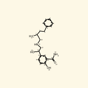 CC(CCc1ccccc1)CNCC(O)c1ccc(O)c(C(N)=O)c1